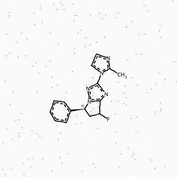 Cc1nccn1-c1nc2n(n1)[C@H](c1ccccc1)CC2F